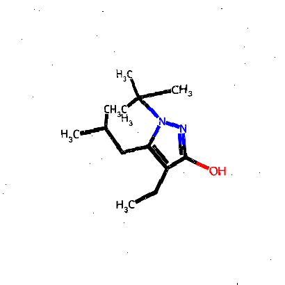 CCc1c(O)nn(C(C)(C)C)c1CC(C)C